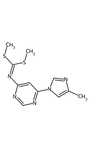 CSC(=Nc1cc(-n2cnc(C)c2)ncn1)SC